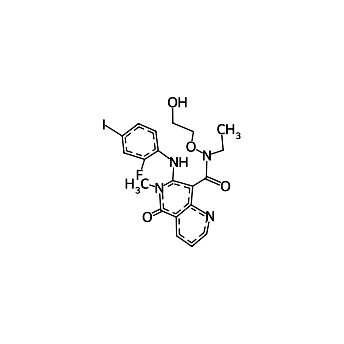 CCN(OCCO)C(=O)c1c(Nc2ccc(I)cc2F)n(C)c(=O)c2cccnc12